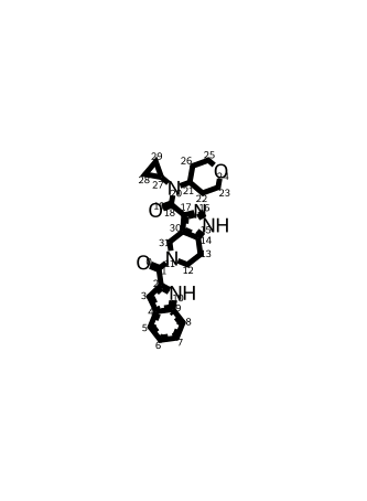 O=C(c1cc2ccccc2[nH]1)N1CCc2[nH]nc(C(=O)N(C3CCOCC3)C3CC3)c2C1